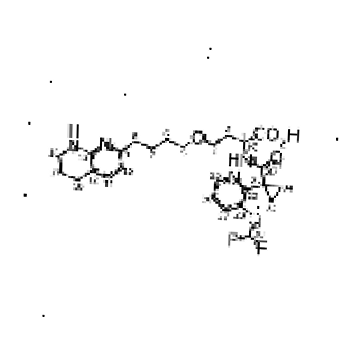 O=C(O)[C@H](CCOCCCCc1ccc2c(n1)NCCC2)NC(=O)C1(c2ncccc2OC(F)F)CC1